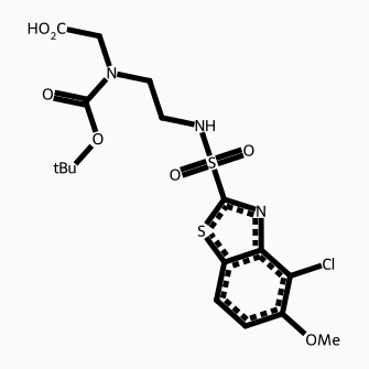 COc1ccc2sc(S(=O)(=O)NCCN(CC(=O)O)C(=O)OC(C)(C)C)nc2c1Cl